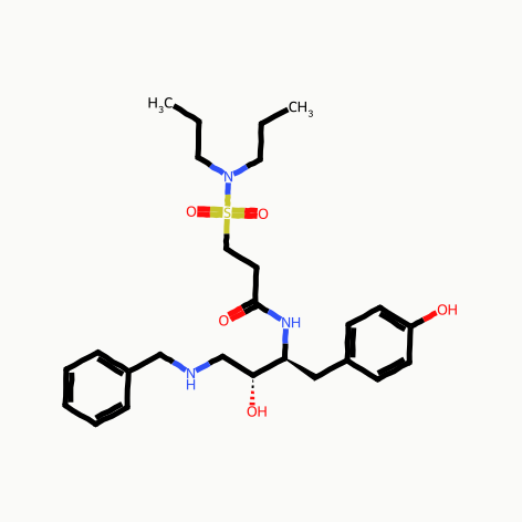 CCCN(CCC)S(=O)(=O)CCC(=O)N[C@@H](Cc1ccc(O)cc1)[C@H](O)CNCc1ccccc1